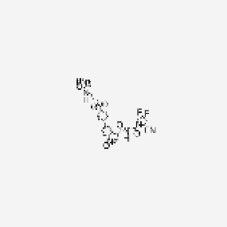 CC(C)(C)OC(=O)NCCCS(=O)(=O)c1ccc(-c2ccc3c(c2)c(C(=O)NCC(=O)N2CC(F)(F)C[C@H]2C#N)cc[n+]3[O-])cc1